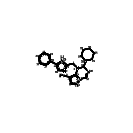 CC(C)c1cnn2c1N(Cc1ncc(-c3ccccc3)[nH]1)C(N1CCCCC1)N=C2